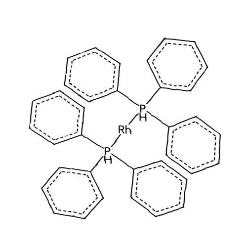 c1ccc([PH]([Rh][PH](c2ccccc2)(c2ccccc2)c2ccccc2)(c2ccccc2)c2ccccc2)cc1